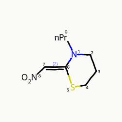 CCCN1CCCS/C1=C\[N+](=O)[O-]